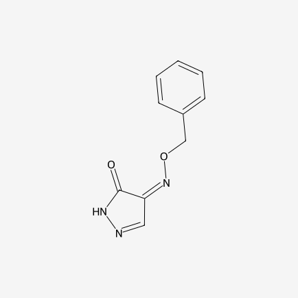 O=C1NN=CC1=NOCc1ccccc1